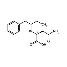 CCC(Cc1ccccc1)N[C@@H](CC(N)=O)C(=O)O